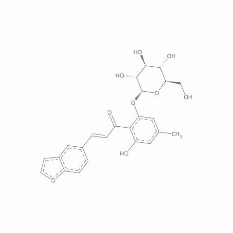 Cc1cc(O)c(C(=O)/C=C/c2ccc3occc3c2)c(O[C@@H]2O[C@H](CO)[C@@H](O)[C@H](O)[C@H]2O)c1